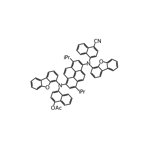 CC(=O)Oc1ccc(N(c2cc(C(C)C)c3ccc4c(N(c5ccc(C#N)c6ccccc56)c5cccc6c5oc5ccccc56)cc(C(C)C)c5ccc2c3c54)c2cccc3c2oc2ccccc23)c2ccccc12